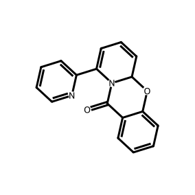 O=C1c2ccccc2OC2C=CC=C(c3ccccn3)N12